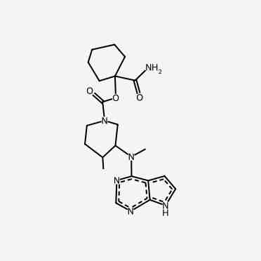 CC1CCN(C(=O)OC2(C(N)=O)CCCCC2)CC1N(C)c1ncnc2[nH]ccc12